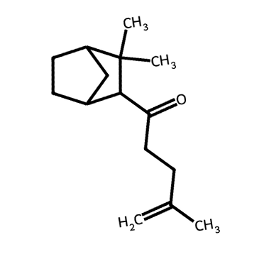 C=C(C)CCC(=O)C1C2CCC(C2)C1(C)C